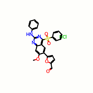 COc1cc2nc(Nc3ccccc3)nc(S(=O)(=O)c3ccccc3)c2cc1-c1ccc(C=O)o1.Cl